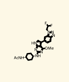 COc1nc(N[C@H]2CC[C@@H](NC(C)=O)CC2)nc2[nH]cc(-c3ccc4nnn(CC(F)F)c4c3)c12